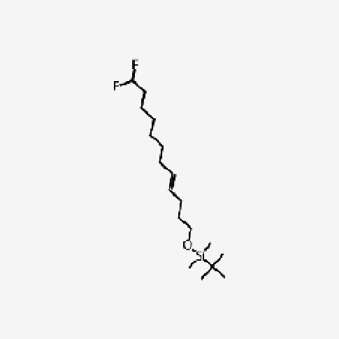 CC(C)(C)[Si](C)(C)OCCC/C=C/CCCCCCC(F)F